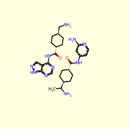 CC(N)[C@H]1CC[C@H](C(=O)Nc2ccnc(N)c2)CC1.NC[C@H]1CC[C@H](C(=O)Nc2ncnc3[nH]ncc23)CC1